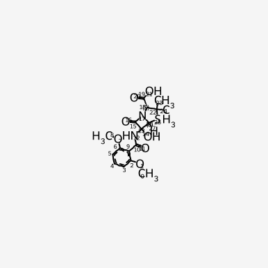 COc1cccc(OC)c1C(=O)NC1(O)C(=O)N2[C@@H](C(=O)O)C(C)(C)S[C@@H]21